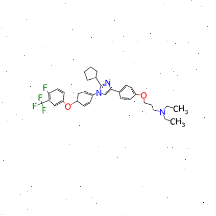 CCN(CC)CCCOc1ccc(-c2cn(C3=CCC(Oc4ccc(F)c(C(F)(F)F)c4)C=C3)c(C3CCCC3)n2)cc1